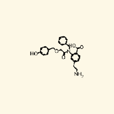 NCCc1ccc(C(=O)O)c(N(Cc2ccccc2)C(=O)COCc2ccc(O)cc2)c1